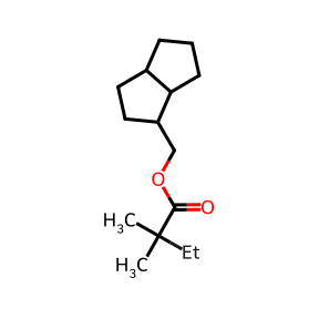 CCC(C)(C)C(=O)OCC1CCC2CCCC21